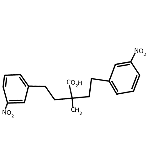 CC(CCc1cccc([N+](=O)[O-])c1)(CCc1cccc([N+](=O)[O-])c1)C(=O)O